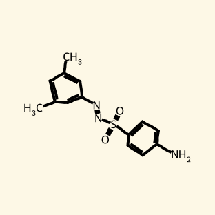 Cc1cc(C)cc(N=NS(=O)(=O)c2ccc(N)cc2)c1